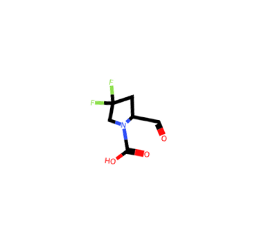 O=CC1CC(F)(F)CN1C(=O)O